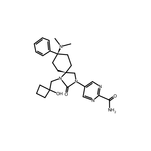 CN(C)[C@]1(c2ccccc2)CC[C@@]2(CC1)CN(c1cnc(C(N)=O)nc1)C(=O)N2CC1(O)CCC1